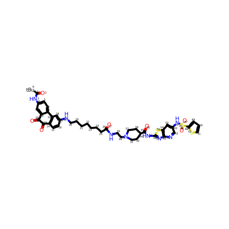 CC(C)(C)C(=O)Nc1ccc2c(c1)C(=O)C(=O)c1ccc(NCCCCCCCC(=O)NCCN3CCC(C(=O)Nc4nc5ncc(NS(=O)(=O)c6cccs6)cc5s4)CC3)cc1-2